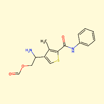 Cc1c(C(N)COC=O)csc1C(=O)Nc1ccccc1